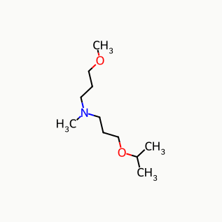 COCCCN(C)CCCOC(C)C